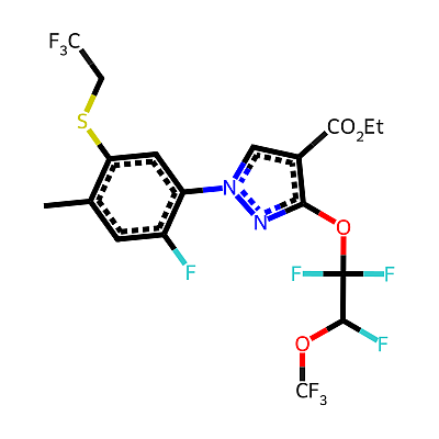 CCOC(=O)c1cn(-c2cc(SCC(F)(F)F)c(C)cc2F)nc1OC(F)(F)C(F)OC(F)(F)F